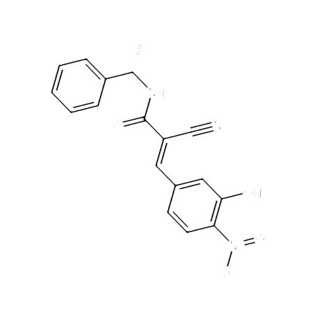 C[C@H](NC(=O)/C(C#N)=C/c1ccc([N+](=O)[O-])c(O)c1)c1ccccc1